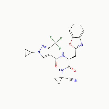 N#CC1(NC(=O)[C@H](Cc2nc3ccccc3o2)NC(=O)c2cn(C3CC3)nc2C(F)(F)F)CC1